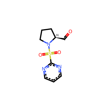 O=[C][C@@H]1CCCN1S(=O)(=O)c1ncccn1